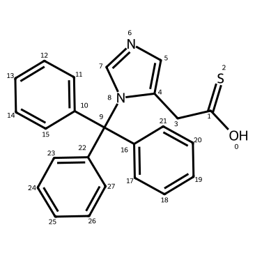 OC(=S)Cc1cncn1C(c1ccccc1)(c1ccccc1)c1ccccc1